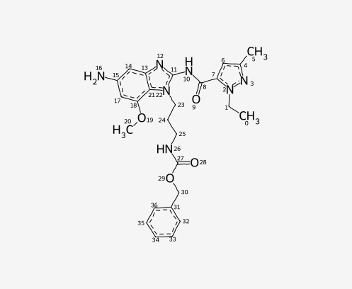 CCn1nc(C)cc1C(=O)Nc1nc2cc(N)cc(OC)c2n1CCCNC(=O)OCc1ccccc1